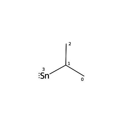 C[CH](C)[Sn]